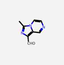 Cc1nc(C=O)c2cnccn12